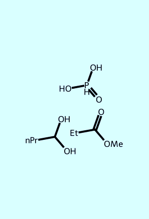 CCC(=O)OC.CCCC(O)O.O=[PH](O)O